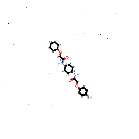 O=C(COc1ccc(Cl)cc1)N[C@H]1CC[C@H](NC(=O)COC2CCCCC2)CC1